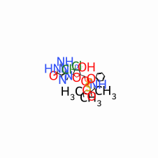 CC(C)OC(=O)[C@H](C)NP(=S)(OC[C@H]1O[C@@H](n2cnc3c(=O)[nH]c(N)nc32)C(Cl)(Cl)[C@@H]1O)Oc1ccccc1